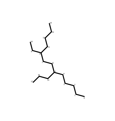 CCCCCC([CH]CC(CC)CCCC)CCC